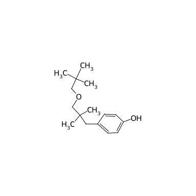 CC(C)(C)COCC(C)(C)Cc1ccc(O)cc1